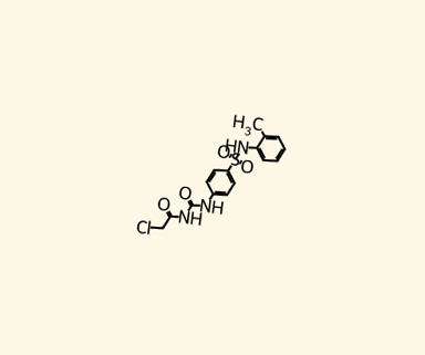 Cc1ccccc1NS(=O)(=O)c1ccc(NC(=O)NC(=O)CCl)cc1